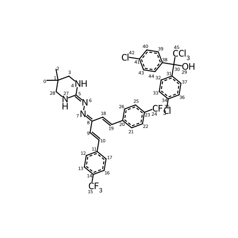 CC1(C)CNC(=NN=C(/C=C/c2ccc(C(F)(F)F)cc2)/C=C/c2ccc(C(F)(F)F)cc2)NC1.OC(c1ccc(Cl)cc1)(c1ccc(Cl)cc1)C(Cl)(Cl)Cl